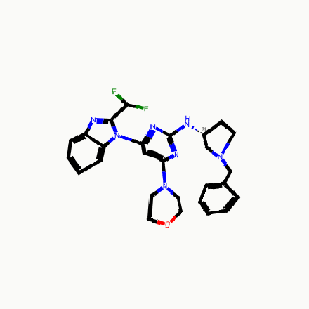 FC(F)c1nc2ccccc2n1-c1cc(N2CCOCC2)nc(N[C@@H]2CCN(Cc3ccccc3)C2)n1